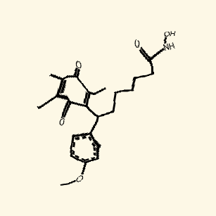 COc1ccc(C(CCCCCC(=O)NO)C2=C(C)C(=O)C(C)=C(C)C2=O)cc1